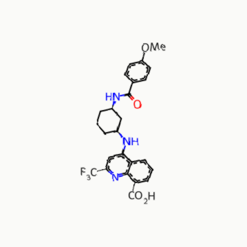 COc1ccc(C(=O)N[C@@H]2CCC[C@H](Nc3cc(C(F)(F)F)nc4c(C(=O)O)cccc34)C2)cc1